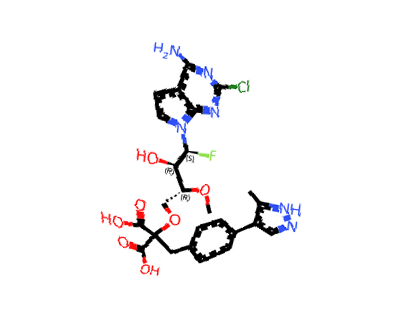 CO[C@H](COC(Cc1ccc(-c2cn[nH]c2C)cc1)(C(=O)O)C(=O)O)[C@@H](O)[C@H](F)n1ccc2c(N)nc(Cl)nc21